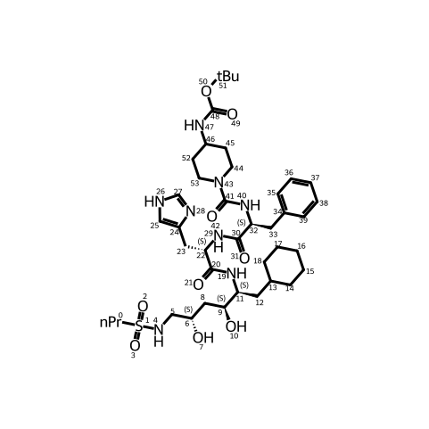 CCCS(=O)(=O)NC[C@@H](O)C[C@H](O)[C@H](CC1CCCCC1)NC(=O)[C@H](Cc1c[nH]cn1)NC(=O)[C@H](Cc1ccccc1)NC(=O)N1CCC(NC(=O)OC(C)(C)C)CC1